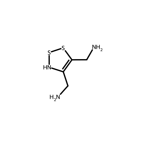 NCC1=C(CN)SSN1